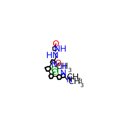 COc1nc(-c2cccc(-c3cccc(-c4ccc5c(CN(C)C)c[nH]c5c4)c3Cl)c2Cl)ccc1CNC[C@@H]1CCC(=O)N1